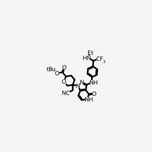 CCNC(c1ccc(Nc2nn(C3(CC#N)CCC(C(=O)OC(C)(C)C)OC3)c3cc[nH]c(=O)c23)cc1)C(F)(F)F